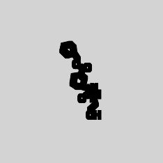 O=C(OCc1ccccc1)c1cccc(-n2nnn(CCO)c2=O)c1